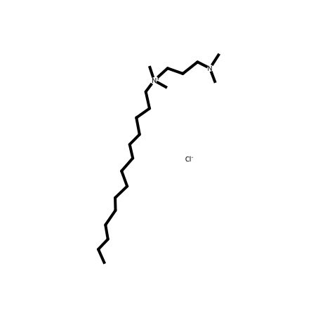 CCCCCCCCCCCCCC[N+](C)(C)CCCN(C)C.[Cl-]